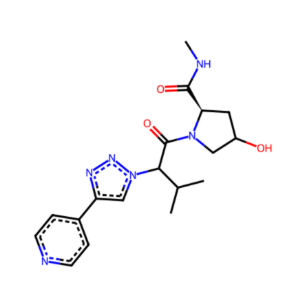 CNC(=O)[C@H]1CC(O)CN1C(=O)C(C(C)C)n1cc(-c2ccncc2)nn1